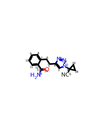 N#CC1(n2cc([CH]Cc3ccccc3C(N)=O)nn2)CC1